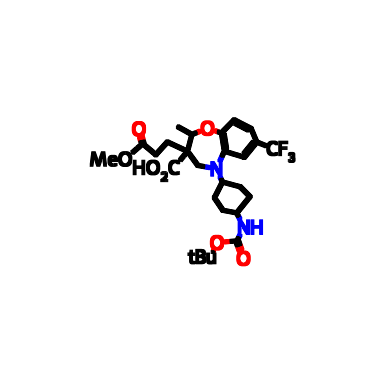 COC(=O)CCC1(C(=O)O)CN(C2CCC(NC(=O)OC(C)(C)C)CC2)c2cc(C(F)(F)F)ccc2OC1C